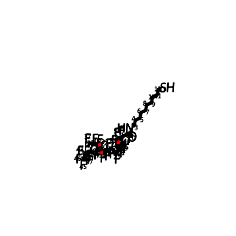 O=C(NCCCCCCCCCCS)C(F)(OC(F)(F)C(F)(CF)OC(F)(F)C(F)(OC(F)(F)C(F)(CF)OC(F)(F)C(F)C(F)(F)F)C(F)(F)F)C(F)(F)F